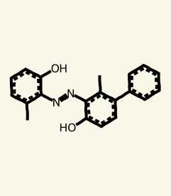 Cc1cccc(O)c1N=Nc1c(O)ccc(-c2ccccc2)c1C